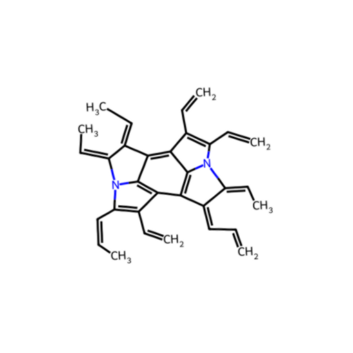 C=C/C=c1\c(=C/C)n2c(C=C)c(C=C)c3c4c(=C/C)/c(=C\C)n5c(/C=C\C)c(C=C)c(c1c32)c45